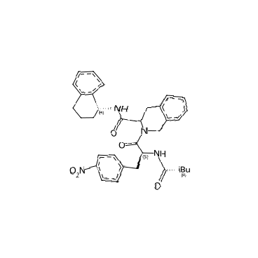 CC[C@@H](C)C(=O)N[C@@H](Cc1ccc([N+](=O)[O-])cc1)C(=O)N1Cc2ccccc2CC1C(=O)N[C@@H]1CCCc2ccccc21